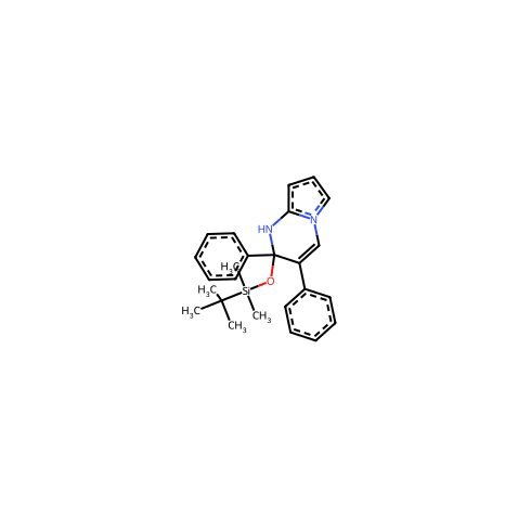 CC(C)(C)[Si](C)(C)OC1(c2ccccc2)Nc2cccn2C=C1c1ccccc1